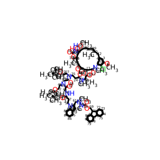 COc1cc2cc(c1Cl)N(C)C(=O)C[C@H](OC(=O)[C@H](C)N(C)C(=O)CCN(CCO[Si](C)(C)C(C)(C)C)C(=O)CN(CCO[Si](C)(C)C(C)(C)C)C(=O)CNC(=O)CCn1c(CN(C)N(C)C(=O)OCC3c4ccccc4-c4ccccc43)cc3ccccc31)[C@]1(C)OC1[C@H](C)[C@@H]1C[C@@](O)(NC(=O)O1)[C@H](OC)/C=C/C=C(\C)C2